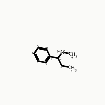 CCC(NC)c1ccccc1